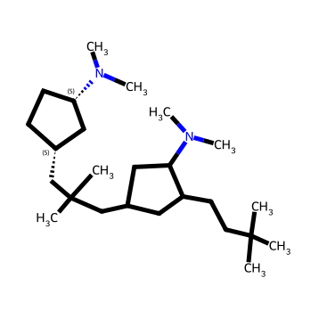 CN(C)C1CC(CC(C)(C)C[C@@H]2CC[C@H](N(C)C)C2)CC1CCC(C)(C)C